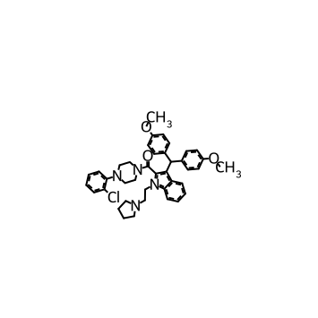 COc1ccc(C(c2ccc(OC)cc2)c2c(C(=O)N3CCN(c4ccccc4Cl)CC3)n(CCN3CCCC3)c3ccccc23)cc1